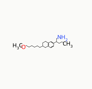 CCCC(CN)c1ccc2c(c1)CCC(CCCCCCOC)C2